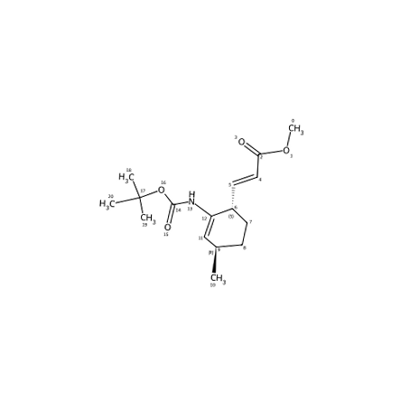 COC(=O)C=C[C@@H]1CC[C@@H](C)C=C1NC(=O)OC(C)(C)C